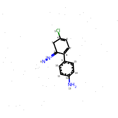 [N-]=[N+]=C1CC(Cl)=CC=C1c1ccc(N)cc1